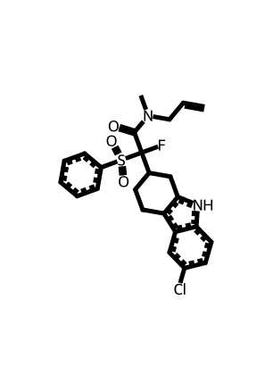 C=CCN(C)C(=O)C(F)(C1CCc2c([nH]c3ccc(Cl)cc23)C1)S(=O)(=O)c1ccccc1